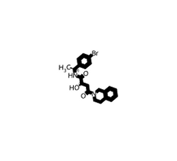 C[C@@H](NC(=O)[C@H](O)CC(=O)N1CCc2ccccc2C1)c1ccc(Br)cc1